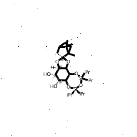 CC(C)[Si]1(C(C)C)OC2C(O[Si](C(C)C)(C(C)C)O1)[C@H](O)[C@H](O)[C@H]1O[C@]3(CC4CCC3(C)C4(C)C)OC21